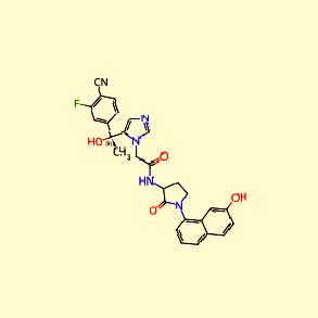 C[C@@](O)(c1ccc(C#N)c(F)c1)c1cncn1CC(=O)NC1CCN(c2cccc3ccc(O)cc23)C1=O